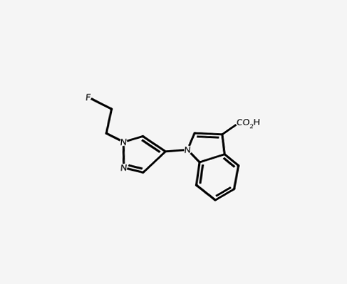 O=C(O)c1cn(-c2cnn(CCF)c2)c2ccccc12